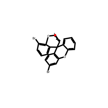 Brc1ccc2c(c1)Oc1ccccc1C21c2ccccc2Oc2c(Br)cccc21